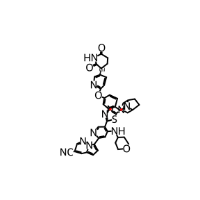 N#Cc1cnn2c(-c3cc(NC4CCOCC4)c(-c4nnc(N5CC6CCC(C5)N6Cc5ccc(Oc6ccc([C@@H]7CCC(=O)NC7=O)cn6)cc5)s4)cn3)ccc2c1